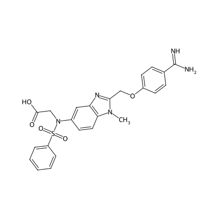 Cn1c(COc2ccc(C(=N)N)cc2)nc2cc(N(CC(=O)O)S(=O)(=O)c3ccccc3)ccc21